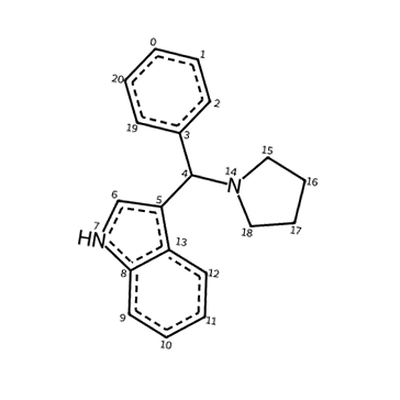 c1ccc(C(c2c[nH]c3ccccc23)N2CCCC2)cc1